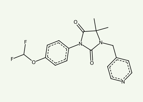 CC1(C)C(=O)N(c2ccc(OC(F)F)cc2)C(=O)N1Cc1ccncc1